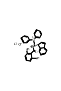 CC(C)c1cccc(C(C)C)c1C(=O)[NH][Zr+2]([CH]1C=Cc2ccccc21)[SiH](c1ccccc1)c1ccccc1.[Cl-].[Cl-]